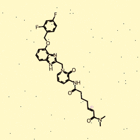 CN(C)C(=O)/C=C/CCCC(=O)Nc1cccn(Cc2nc3c(OCc4ccc(F)cc4F)cccc3[nH]2)c1=O